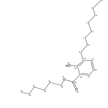 CCCCCCCCCCc1cccc(C(=O)OCCCCCC)c1O